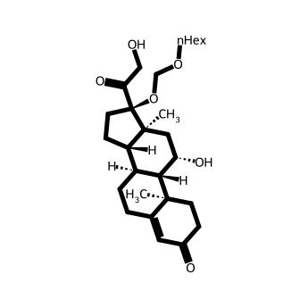 CCCCCCOCO[C@]1(C(=O)CO)CC[C@H]2[C@@H]3CCC4=CC(=O)CC[C@]4(C)[C@H]3[C@@H](O)C[C@@]21C